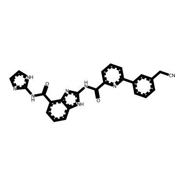 N#CCc1cccc(-c2cccc(C(=O)Nc3nc4c(C(=O)Nc5ncc[nH]5)cccc4[nH]3)n2)c1